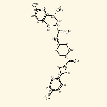 O=C(N[C@@H]1CC[C@@H](C(=O)N2CC(c3ccc(C(F)(F)F)cc3)C2)OC1)[C@H]1C[C@@H](O)c2cc(Cl)ccc2O1